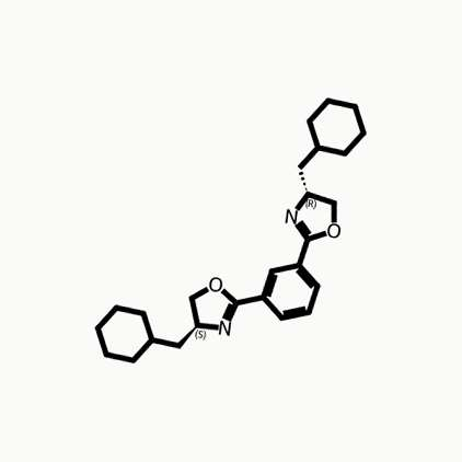 c1cc(C2=N[C@@H](CC3CCCCC3)CO2)cc(C2=N[C@H](CC3CCCCC3)CO2)c1